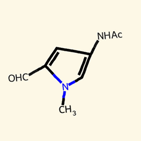 CC(=O)Nc1cc(C=O)n(C)c1